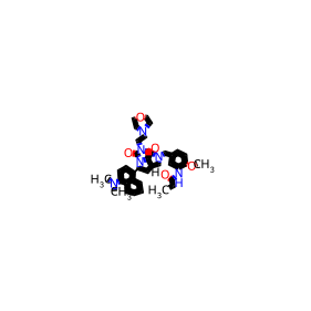 CCC(=O)Nc1cc(CN2C[C@@H]3C[C@@H](c4ccc(N(C)C)c5ccccc45)N4C(=O)N(CCN5CCOCC5)C(=O)C34C2)ccc1OC